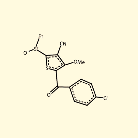 CC[S+]([O-])c1sc(C(=O)c2ccc(Cl)cc2)c(OC)c1C#N